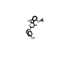 CC(CC(=O)N1C2CC3CC1CC(O)(C3)C2)c1c[nH]c2cccc(OC3CC3)c12